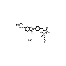 CCCCS(=O)(=O)NC(Cc1ccc(N2Cc3cc(C4CCNCC4)ccc3C2=O)cc1)C(=O)OC.Cl